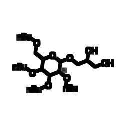 CCCCOCC1OC(OCC(O)CO)[C@@H](OCCCC)C(OCCCC)C1OCCCC